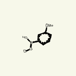 COc1cccc(B(O)OCl)c1